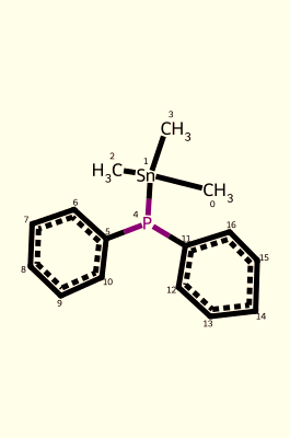 [CH3][Sn]([CH3])([CH3])[P](c1ccccc1)c1ccccc1